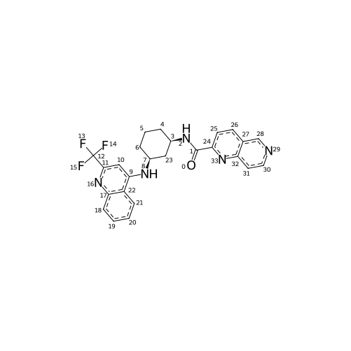 O=C(N[C@@H]1CCC[C@H](Nc2cc(C(F)(F)F)nc3ccccc23)C1)c1ccc2cnccc2n1